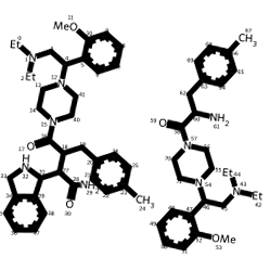 CCN(CC)CC(c1ccccc1OC)N1CCN(C(=O)C(Cc2ccc(C)cc2)C(C(N)=O)C2NCc3ccccc32)CC1.CCN(CC)CC(c1ccccc1OC)N1CCN(C(=O)C(N)Cc2ccc(C)cc2)CC1